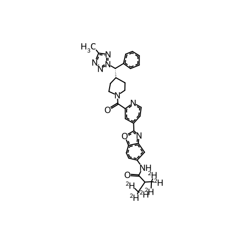 [2H]C([2H])([2H])C(C(=O)Nc1ccc2oc(-c3ccnc(C(=O)N4CCC([C@@H](c5ccccc5)n5nnc(C)n5)CC4)c3)nc2c1)C([2H])([2H])[2H]